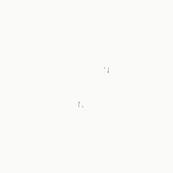 C1=Cc2cn3ccc4c5ccccc5nc4c3c2=C1